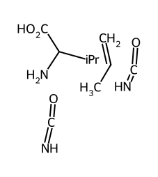 C=CC.CC(C)C(N)C(=O)O.N=C=O.N=C=O